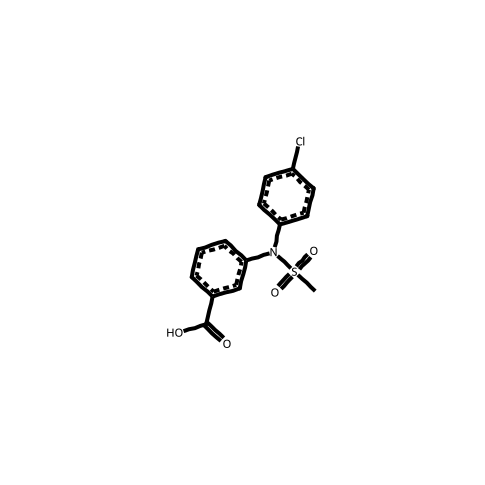 CS(=O)(=O)N(c1ccc(Cl)cc1)c1cccc(C(=O)O)c1